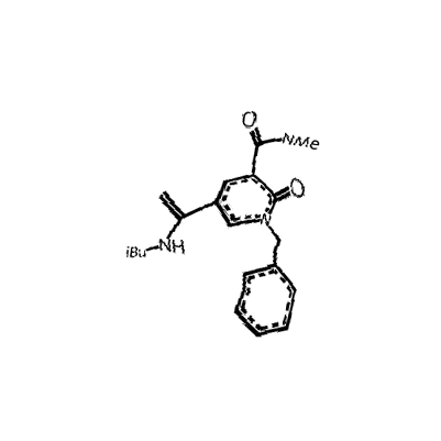 C=C(NC(C)CC)c1cc(C(=O)NC)c(=O)n(Cc2ccccc2)c1